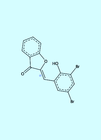 O=C1/C(=C/c2cc(Br)cc(Br)c2O)Oc2ccccc21